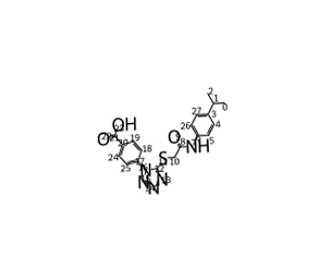 CC(C)c1ccc(NC(=O)CSc2nnnn2-c2ccc(C(=O)O)cc2)cc1